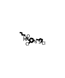 CCCCOC(=O)Nc1ccc(N(C)Cc2ccc(Cl)s2)cc1Cl